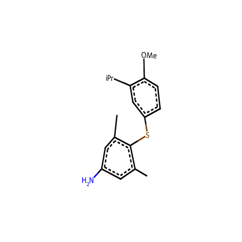 COc1ccc(Sc2c(C)cc(N)cc2C)cc1C(C)C